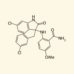 COc1ccc(NC2(Cc3cccc(Cl)c3)C(=O)Nc3cc(Cl)ccc32)c(C(N)=O)c1